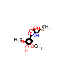 COc1cc(C(=O)N[C@@H](CCSC)C(=O)O)cc(OC)c1O